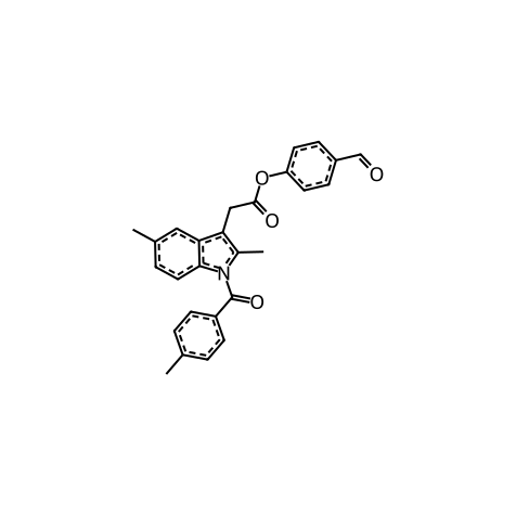 Cc1ccc(C(=O)n2c(C)c(CC(=O)Oc3ccc(C=O)cc3)c3cc(C)ccc32)cc1